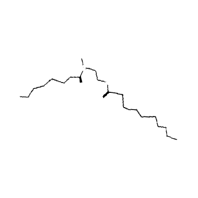 CCCCCCCCCC(=O)OCCN(C)C(=O)CCCCCCC